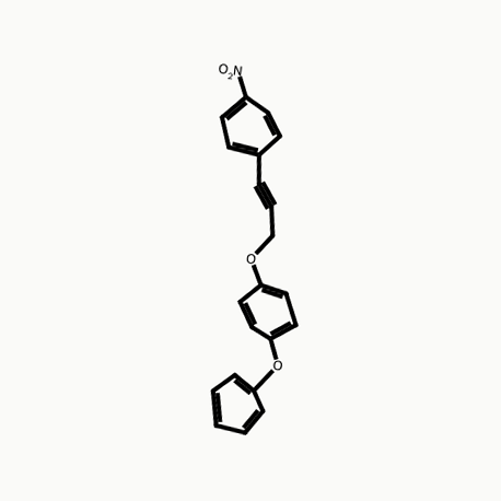 O=[N+]([O-])c1ccc(C#CCOc2ccc(Oc3ccccc3)cc2)cc1